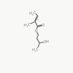 C/C=C(\C)C(=O)OCCC(C)O